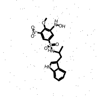 COc1c(NO)cc(S(=O)(=O)NC(C)Cc2c[nH]c3ccccc23)cc1[N+](=O)[O-]